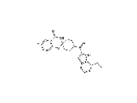 COc1cccc2c(C)c(C(=O)N3CCC4(CC3)NC(=O)c3cc(C)ccc3O4)[nH]c12